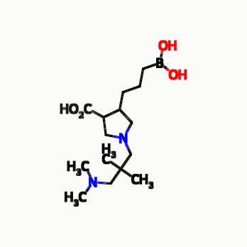 CN(C)CC(C)(C)CN1CC(CCCB(O)O)C(C(=O)O)C1